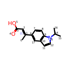 C/C(=C\C(=O)O)c1ccc2c(ccn2C(C)C)c1